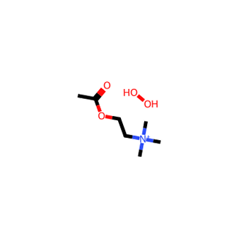 CC(=O)OCC[N+](C)(C)C.OO